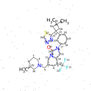 C[C@H]1CCCN(Cc2cc(C(F)(F)F)c3cn(-c4cccc(C5(c6nncs6)CC(C)(C)C5)c4)c(=O)n3c2)C1